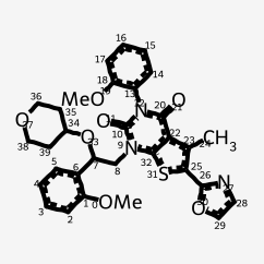 COc1ccccc1C(Cn1c(=O)n(-c2ccccc2OC)c(=O)c2c(C)c(-c3ncco3)sc21)OC1CCOCC1